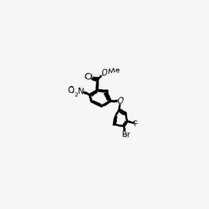 COC(=O)c1cc(Oc2ccc(Br)c(F)c2)ccc1[N+](=O)[O-]